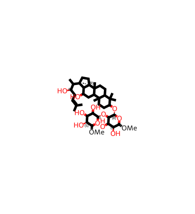 COC1O[C@@H](OC2C(O)[C@H](O)C(OC)O[C@H]2OC2CCC3(C)C(CCC4(C)C3CC(O)C3C(C(C)[C@H](O)CC=C(C)C)CC[C@]34C)C2(C)C)C(O)C(O)[C@@H]1O